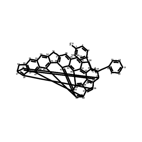 Fc1ccc(C2CC(c3ccccc3)C3c4cc5c6c7c(cc8cc9c%10c%11c(cc%12cc%13c%14c(c%15c4c6c4c%15c6c%14c%12c%11c6c6c%10c8c7c46)C23C%13)C9)C5)cc1